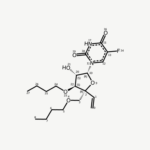 C=C[C@]1(COCCCC)O[C@@H](n2cc(F)c(=O)[nH]c2=O)[C@@H](O)[C@@H]1OCCCC